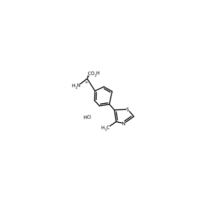 Cc1ncsc1-c1ccc([C@@H](N)C(=O)O)cc1.Cl